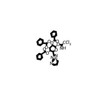 N=C(O[C@H]1OC(c2nc3ncccn3n2)[C@@H](OC(=O)c2ccccc2)[C@H](OC(=O)c2ccccc2)C1OC(=O)c1ccccc1)C(Cl)(Cl)Cl